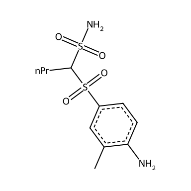 CCCC(S(N)(=O)=O)S(=O)(=O)c1ccc(N)c(C)c1